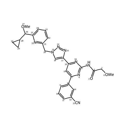 COCC(=O)Nc1nc(-c2cccc(C#N)c2)cc(-c2cn(Cc3cccc(C(OC)C4CC4)n3)nn2)n1